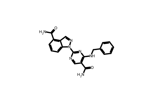 NC(=O)c1cnc(-n2ncc3c(C(N)=O)cccc32)nc1NCc1ccccc1